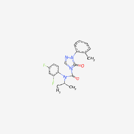 Cc1ccccc1-n1ncn(C(=O)N(c2ccc(F)cc2F)C(C)C)c1=O